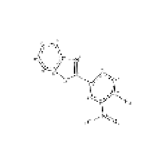 O=[N+]([O-])c1cc(C2=Nc3ccccc3C2)ccc1F